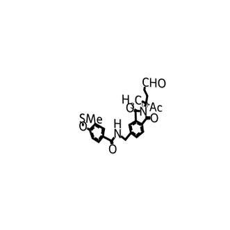 CSOc1ccc(C(=O)NCc2ccc3c(c2)C(=O)N([C@@](C)(CCC=O)C(C)=O)C3=O)cc1